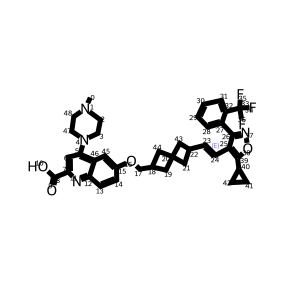 CN1CCN(c2cc(C(=O)O)nc3ccc(OCC4CC5(CC(/C=C/c6c(-c7ccccc7C(F)(F)F)noc6C6CC6)C5)C4)cc23)CC1